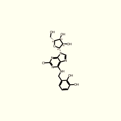 OC[C@H]1O[C@@H](n2cnc3c(NCc4cccc(O)c4O)nc(Cl)nc32)[C@H](O)[C@@H]1O